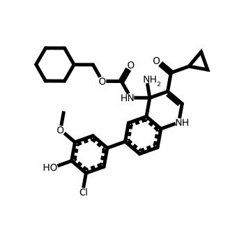 COc1cc(-c2ccc3c(c2)C(N)(NC(=O)OCC2CCCCC2)C(C(=O)C2CC2)=CN3)cc(Cl)c1O